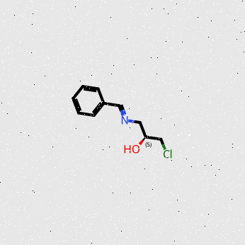 O[C@H](CCl)CN=Cc1ccccc1